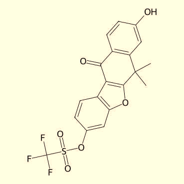 CC1(C)c2cc(O)ccc2C(=O)c2c1oc1cc(OS(=O)(=O)C(F)(F)F)ccc21